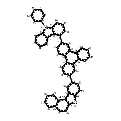 c1ccc(-n2c3ccccc3c3c(-c4ccc5c6ccc(-c7ccc8oc9ccc%10ccccc%10c9c8c7)cc6c6ccccc6c5c4)cccc32)cc1